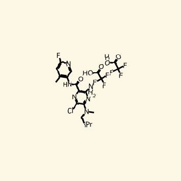 Cc1cc(F)ncc1NC(=O)c1nc(Cl)c(N(C)CC(C)C)nc1N.O=C(O)C(F)(F)F.O=C(O)C(F)(F)F